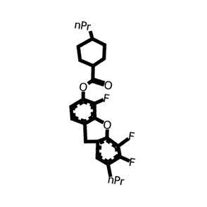 CCCc1cc2c(c(F)c1F)Oc1c(ccc(OC(=O)C3CCC(CCC)CC3)c1F)C2